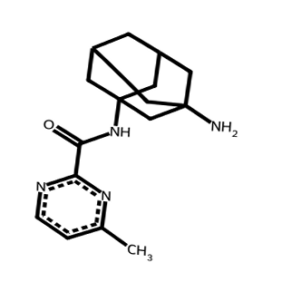 Cc1ccnc(C(=O)NC23CC4CC(CC(N)(C4)C2)C3)n1